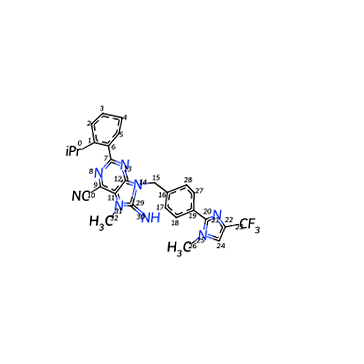 CC(C)c1ccccc1-c1nc(C#N)c2c(n1)n(Cc1ccc(-c3nc(C(F)(F)F)cn3C)cc1)c(=N)n2C